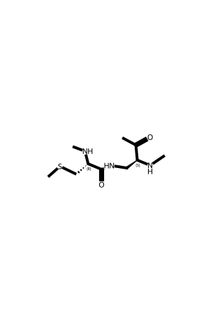 CN[C@@H](CNC(=O)[C@H](CSC)NC)C(C)=O